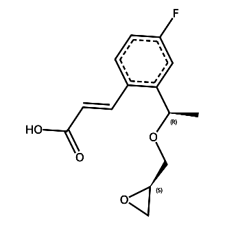 C[C@@H](OC[C@H]1CO1)c1cc(F)ccc1C=CC(=O)O